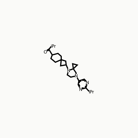 CC(C)C(=O)C1CCC2(CC1)CC(N1CCN(c3cnc(C(C)C)nc3)CC13CC3)C2